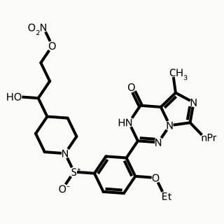 CCCc1nc(C)c2c(=O)[nH]c(-c3cc([S+]([O-])N4CCC(C(O)CCO[N+](=O)[O-])CC4)ccc3OCC)nn12